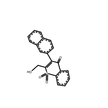 O=C1C(c2ccc3ccccc3c2)=C(CO)S(=O)(=O)c2ccccc21